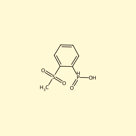 CS(=O)(=O)c1ccccc1[PH](=O)O